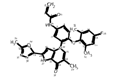 C=CC(=O)Nc1ccc(Oc2c(C)cc(F)cc2C)c(-n2cc(C)c(=O)c3[nH]c(-c4nnc(C)o4)cc32)c1